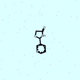 O=C1COC(c2[c]nccc2)N1